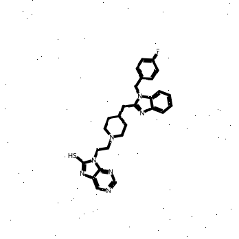 Fc1ccc(Cn2c(CC3CCN(CCn4c(S)nc5cncnc54)CC3)nc3ccccc32)cc1